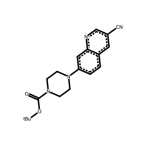 CC(C)(C)OC(=O)N1CCN(c2ccc3cc(C#N)cnc3c2)CC1